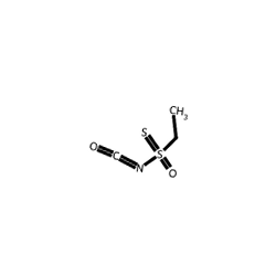 CCS(=O)(=S)N=C=O